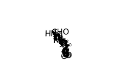 CC(c1ccc2c(c1)OCO2)N1CCN(c2ncc(NC=O)cn2)CC1